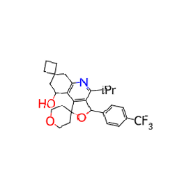 CC(C)c1nc2c(c3c1C(c1ccc(C(F)(F)F)cc1)OC31CCOCC1)C(O)CC1(CCC1)C2